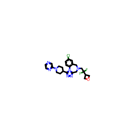 FC(F)(CN1Cc2cc(Cl)ccc2-n2c(nnc2C2CCN(c3cnccn3)CC2)C1)C1COC1